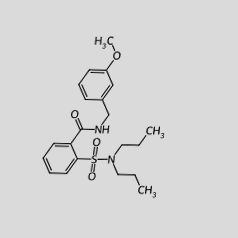 CCCN(CCC)S(=O)(=O)c1ccccc1C(=O)NCc1cccc(OC)c1